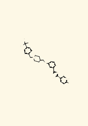 Cc1ccc(-c2noc(-c3cccc(OCC4CCN(Cc5ccc(C(F)(F)F)cc5)CC4)c3)n2)cn1